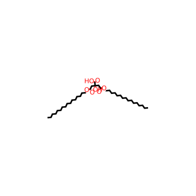 CCCCCCCCCCCCCCCCOC(=O)CC(O)(CC(=O)OCCCCCCCCCCCCCCCC)C(=O)O